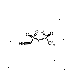 N=CS(=O)(=O)OS(=O)(=O)C(F)(F)F